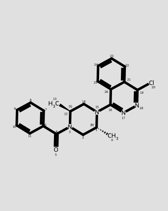 C[C@@H]1CN(C(=O)c2ccccc2)[C@@H](C)CN1c1nnc(Cl)c2ccccc12